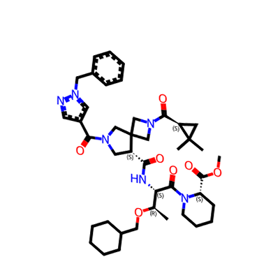 COC(=O)[C@@H]1CCCCN1C(=O)[C@@H](NC(=O)[C@@H]1CN(C(=O)c2cnn(Cc3ccccc3)c2)CC12CN(C(=O)[C@H]1CC1(C)C)C2)[C@@H](C)OCC1CCCCC1